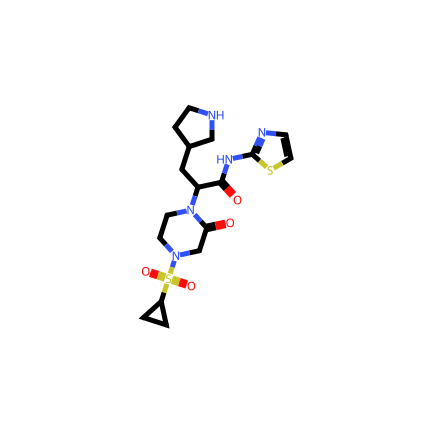 O=C(Nc1nccs1)C(CC1CCNC1)N1CCN(S(=O)(=O)C2CC2)CC1=O